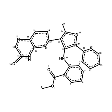 COC(=O)c1ccccc1Nc1c(-c2ccc3ncc(=O)[nH]c3c2)c(C)nn1-c1ccccc1